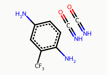 N=C=O.N=C=O.Nc1ccc(N)c(C(F)(F)F)c1